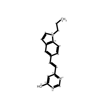 CCCn1ccc2cc(/C=C/c3cc(O)ncn3)ccc21